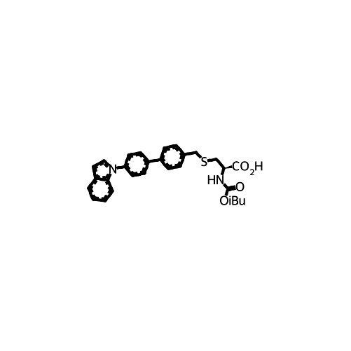 CC(C)COC(=O)N[C@@H](CSCc1ccc(-c2ccc(-n3ccc4ccccc43)cc2)cc1)C(=O)O